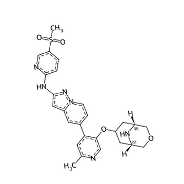 Cc1cc(-c2ccn3nc(Nc4ccc(S(C)(=O)=O)cn4)cc3c2)c(OC2C[C@H]3COC[C@@H](C2)N3)cn1